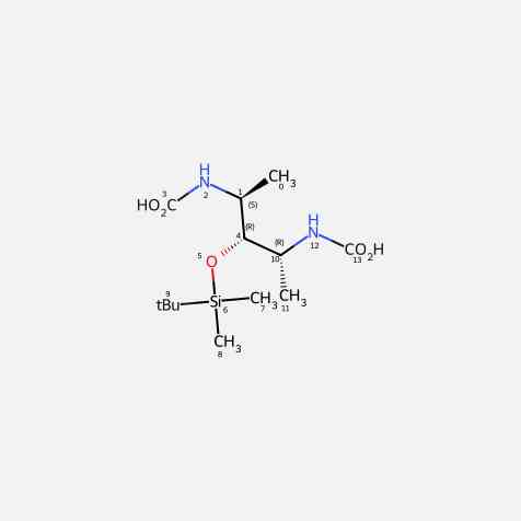 C[C@H](NC(=O)O)[C@@H](O[Si](C)(C)C(C)(C)C)[C@@H](C)NC(=O)O